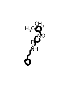 Cc1ccc(C(=O)N2CCC(F)(CSNCCCc3ccccc3)CC2)cc1C